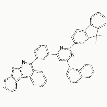 CC1(C)c2ccccc2-c2ccc(-c3nc(-c4cccc(-c5nc6sc7ccccc7c6c6ccccc56)c4)cc(-c4cccc5ccccc45)n3)cc21